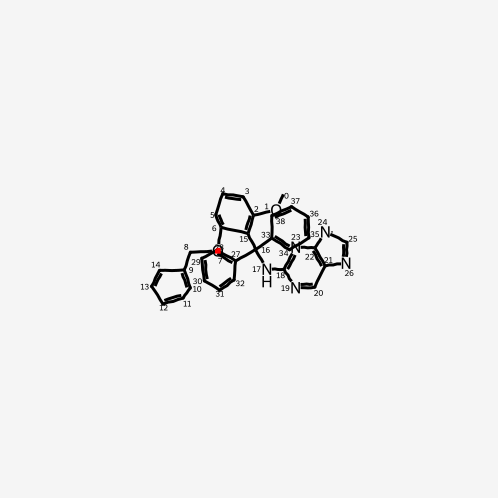 COc1cccc(OCc2ccccc2)c1C(Nc1ncc2c(n1)[N]C=N2)(c1ccccc1)c1ccccc1